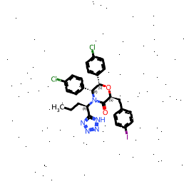 CCC[C@H](c1nnn[nH]1)N1C(=O)[C@H](Cc2ccc(I)cc2)O[C@@H](c2ccc(Cl)cc2)[C@H]1c1ccc(Cl)cc1